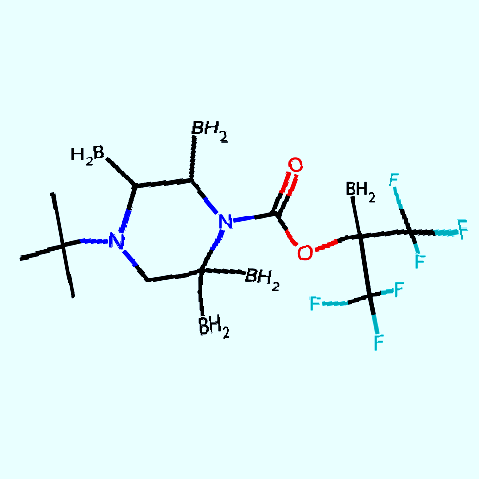 BC1C(B)N(C(=O)OC(B)(C(F)(F)F)C(F)(F)F)C(B)(B)CN1C(C)(C)C